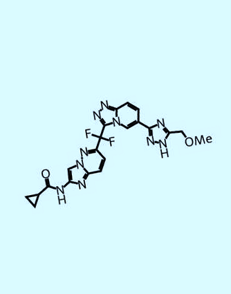 COCc1nc(-c2ccc3nnc(C(F)(F)c4ccc5nc(NC(=O)C6CC6)cn5n4)n3c2)n[nH]1